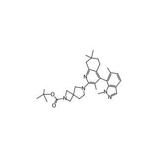 Cc1ccc2cnn(C)c2c1-c1c(C)c(N2CCC3(CN(C(=O)OC(C)(C)C)C3)C2)nc2c1CCC(C)(C)C2